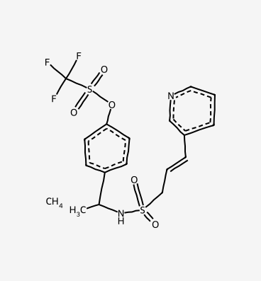 C.CC(NS(=O)(=O)CC=Cc1cccnc1)c1ccc(OS(=O)(=O)C(F)(F)F)cc1